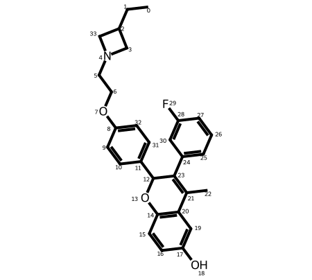 CCC1CN(CCOc2ccc(C3Oc4ccc(O)cc4C(C)=C3c3cccc(F)c3)cc2)C1